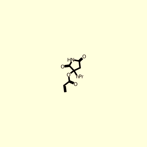 C=CC(=O)OC1(CCC)CC(=O)NC1=O